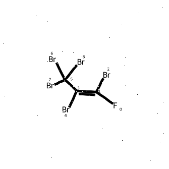 FC(Br)=C(Br)C(Br)(Br)Br